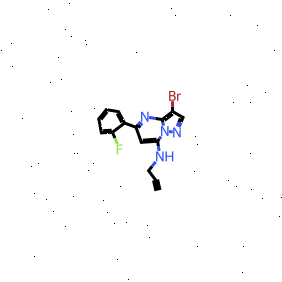 C#CCNc1cc(-c2ccccc2F)nc2c(Br)cnn12